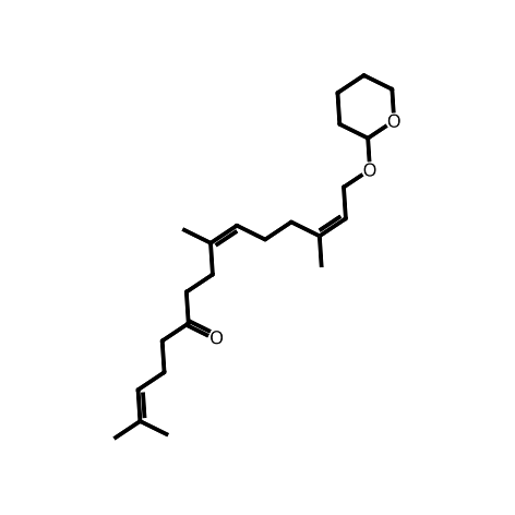 CC(C)=CCCC(=O)CCC(C)=CCCC(C)=CCOC1CCCCO1